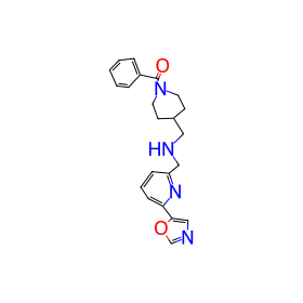 O=C(c1ccccc1)N1CCC(CNCc2cccc(-c3cnco3)n2)CC1